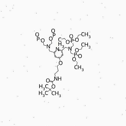 CCOP(=O)(CN(Cc1cc(OCCCNC(=O)OC(C)(C)C)cc(CN(COP=O)COP=O)n1)CP(=O)(OCC)OCC)OCC